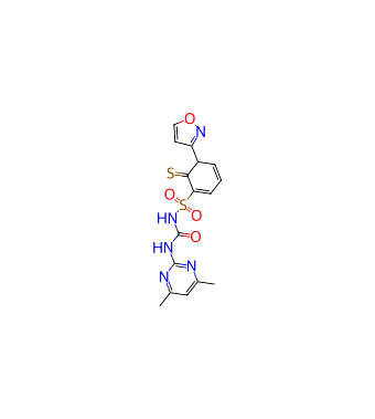 Cc1cc(C)nc(NC(=O)NS(=O)(=O)C2=CC=CC(c3ccon3)C2=S)n1